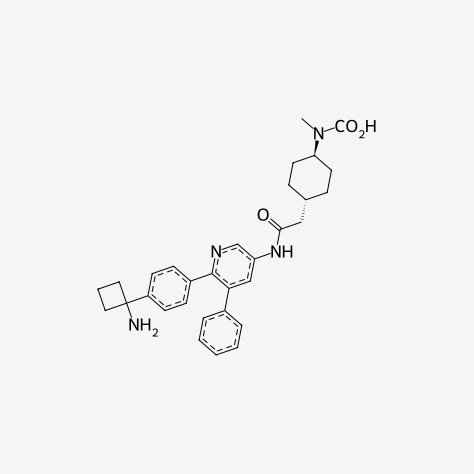 CN(C(=O)O)[C@H]1CC[C@H](CC(=O)Nc2cnc(-c3ccc(C4(N)CCC4)cc3)c(-c3ccccc3)c2)CC1